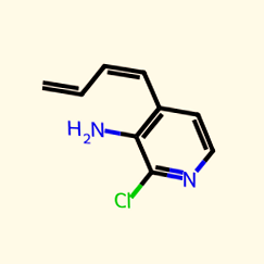 C=C/C=C\c1ccnc(Cl)c1N